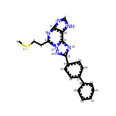 CSCCc1nc2nc[nH]c2c2nc(-c3ccc(-c4ccccc4)cc3)nn12